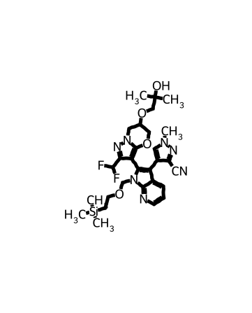 Cn1cc(-c2c(-c3c(C(F)F)nn4c3OCC(OCC(C)(C)O)C4)n(COCC[Si](C)(C)C)c3ncccc23)c(C#N)n1